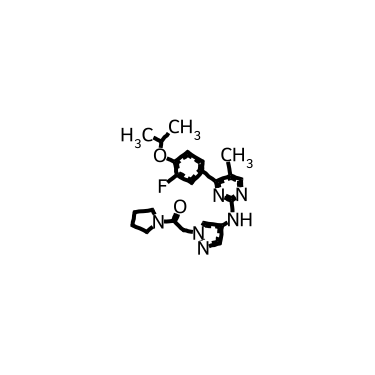 Cc1cnc(Nc2cnn(CC(=O)N3CCCC3)c2)nc1-c1ccc(OC(C)C)c(F)c1